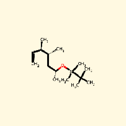 C=C[C@@H](C)[C@H](C)C[C@@H](C)O[Si](C)(C)C(C)(C)C